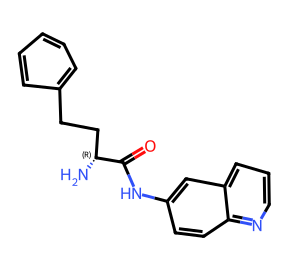 N[C@H](CCc1ccccc1)C(=O)Nc1ccc2ncccc2c1